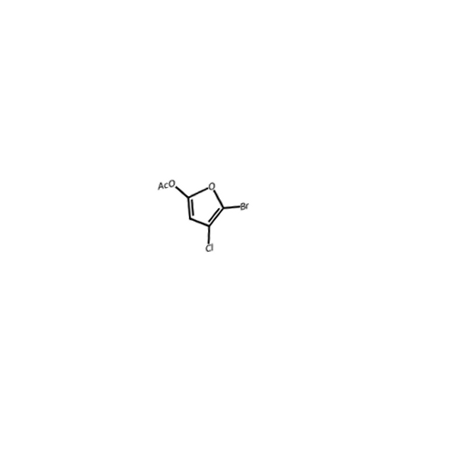 CC(=O)Oc1cc(Cl)c(Br)o1